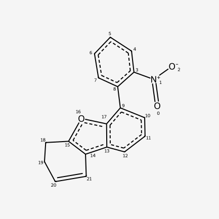 O=[N+]([O-])c1ccccc1-c1cccc2c3c(oc12)CCC=C3